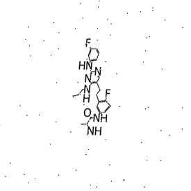 CCCNc1nc(Nc2cccc(F)c2)ncc1CCc1cc(NC(=O)C(C)NC)ccc1F